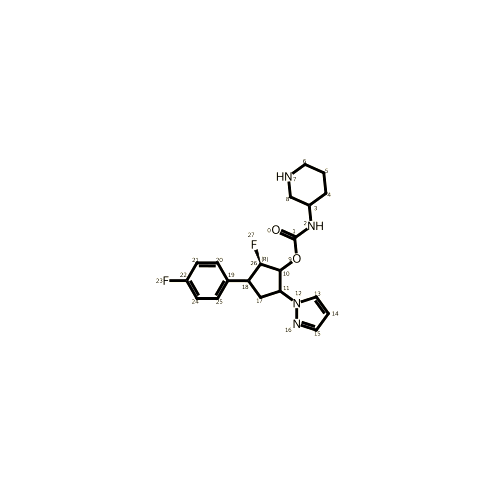 O=C(NC1CCCNC1)OC1C(n2cccn2)CC(c2ccc(F)cc2)[C@H]1F